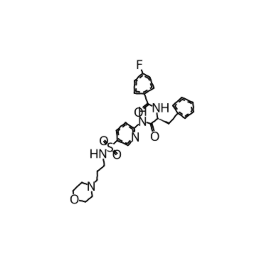 O=C(N[C@@H](Cc1ccccc1)C(=O)Nc1ccc(S(=O)(=O)NCCCN2CCOCC2)cn1)c1ccc(F)cc1